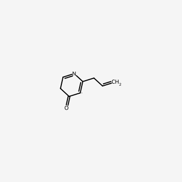 C=CCC1=[C]C(=O)CC=N1